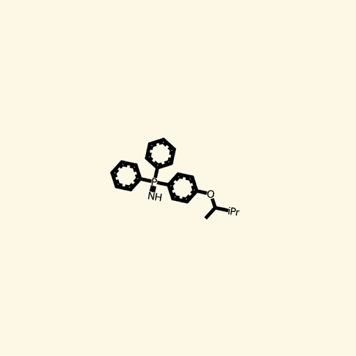 CC(C)C(C)Oc1ccc(P(=N)(c2ccccc2)c2ccccc2)cc1